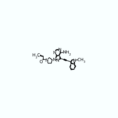 C=CC(=O)N1CC[C@@H](n2nc(C#Cc3cn(C)c4ccccc34)c3c(N)ncnc32)C1